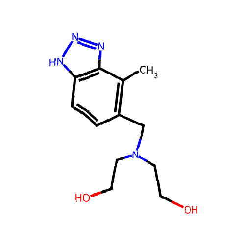 Cc1c(CN(CCO)CCO)ccc2[nH]nnc12